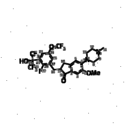 COc1cc2c(cc1N1CCN(C)CC1)CC(Cc1cc(OC(F)(F)F)cc(C(O)(C(F)(F)F)C(F)(F)F)c1F)C2=O